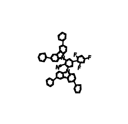 N#Cc1c(-n2c3ccc(-c4ccccc4)cc3c3cc(-c4ccccc4)ccc32)cc(-c2c(F)cc(F)cc2F)cc1-n1c2ccc(-c3ccccc3)cc2c2cc(-c3ccccc3)ccc21